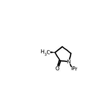 CC(C)N1CC[C@H](C)C1=O